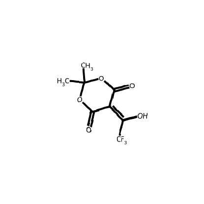 CC1(C)OC(=O)C(=C(O)C(F)(F)F)C(=O)O1